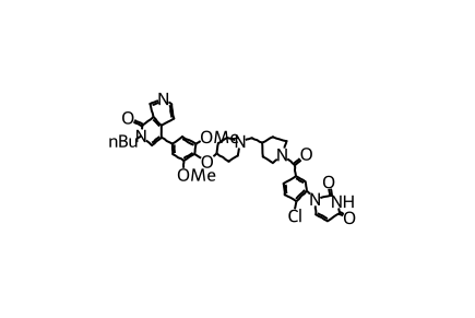 CCCCn1cc(-c2cc(OC)c(OC3CCN(CC4CCN(C(=O)c5ccc(Cl)c(-n6ccc(=O)[nH]c6=O)c5)CC4)CC3)c(OC)c2)c2ccncc2c1=O